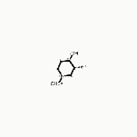 O=CN1CC[C@@H](O)[C@H](F)C1